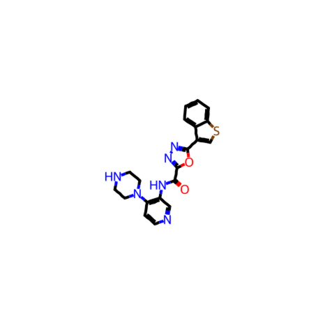 O=C(Nc1cnccc1N1CCNCC1)c1nnc(-c2csc3ccccc23)o1